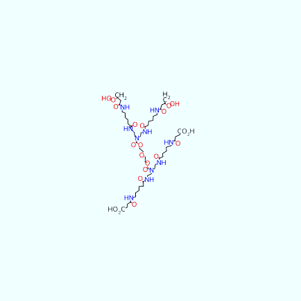 C=C(CC(=O)NCCCCCC(=O)NCCN(CCNC(=O)CCCCCNC(=O)CC(=C)OO)C(=O)OCCOCCOC(=O)N(CCNC(=O)CCCCCNC(=O)CCC(=O)O)CCNC(=O)CCCCCNC(=O)CCC(=O)O)OO